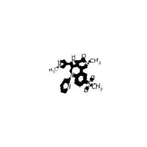 Cn1cc(-c2[nH]c3c(=O)n(C)cc4c3c2CN(c2ccccn2)c2ccc(S(C)(=O)=O)cc2-4)cn1